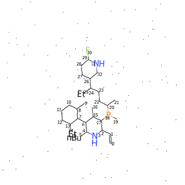 C=CC1NC(CCCC)C(C2C(C)CCCC2CC)C(C)C1P(C)C(C)CCC(CC)C1CCC(F)NC1